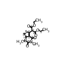 CCOC(=O)C(C(=O)OCC)c1snc2c1c(=O)n(C)c(=O)n2C